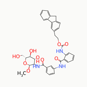 CO[C@H]1O[C@H](CO)[C@@H](O)[C@H](O)[C@H]1NC(=O)c1cccc(NC(=O)c2ccccc2NC(=O)OCCc2ccc3c(c2)-c2ccccc2C3)c1